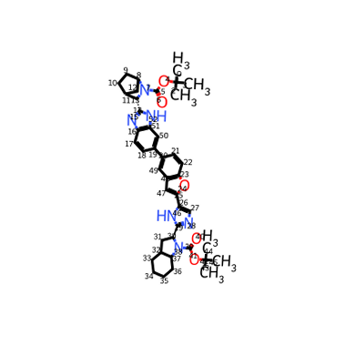 CC(C)(C)OC(=O)N1C2CCC(C2)[C@H]1c1nc2ccc(-c3ccc4oc(-c5cnc([C@@H]6CC7CCCCC7N6C(=O)OC(C)(C)C)[nH]5)cc4c3)cc2[nH]1